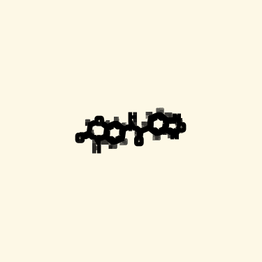 O=C1COc2cc(NC(=O)c3ccc4nonc4c3)ccc2N1